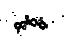 O=C(NCc1cccc(F)c1Cl)N1CCN(c2ccncc2F)CC1